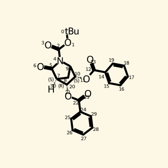 CC(C)(C)OC(=O)N1C(=O)[C@H]2CC1[C@H](OC(=O)c1ccccc1)[C@@H]2OC(=O)c1ccccc1